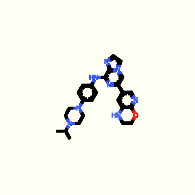 CC(C)N1CCN(c2ccc(Nc3nc(-c4cnc5c(c4)NCCO5)cn4ccnc34)cc2)CC1